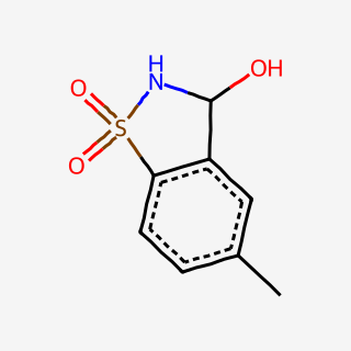 Cc1ccc2c(c1)C(O)NS2(=O)=O